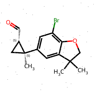 CC1(C)COc2c(Br)cc([C@@]3(C)C[C@@H]3C=O)cc21